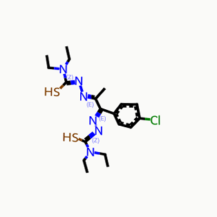 CCN(CC)/C(S)=N/N=C(C)/C(=N/N=C(\S)N(CC)CC)c1ccc(Cl)cc1